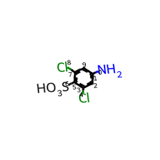 Nc1cc(Cl)c(S(=O)(=O)O)c(Cl)c1